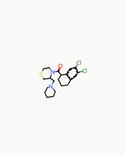 O=C(C1CCCc2cc(Cl)c(Cl)cc21)N1CCSCC1CN1CCCCC1